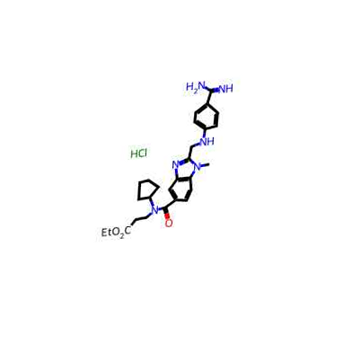 CCOC(=O)CCN(C(=O)c1ccc2c(c1)nc(CNc1ccc(C(=N)N)cc1)n2C)C1CCCC1.Cl